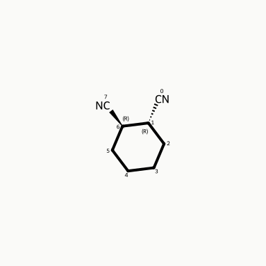 N#C[C@@H]1CCCC[C@H]1C#N